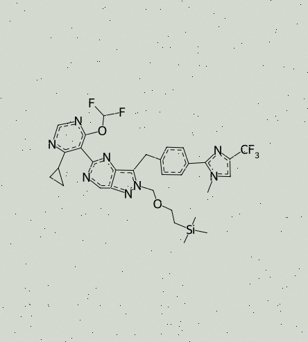 Cn1cc(C(F)(F)F)nc1-c1ccc(Cc2c3nc(-c4c(OC(F)F)ncnc4C4CC4)ncc3nn2COCC[Si](C)(C)C)cc1